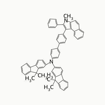 Cn1c(-c2ccccc2)c(-c2ccc(-c3ccc(N(c4ccc5c(c4)C(C)(C)c4ccccc4-5)c4ccc5c(c4)C(C)(C)c4ccccc4-5)cc3)cc2)c2c3ccccc3ccc21